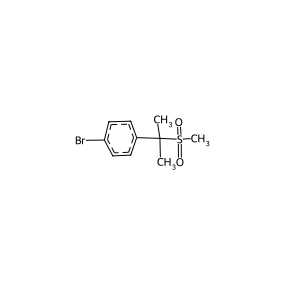 CC(C)(c1ccc(Br)cc1)S(C)(=O)=O